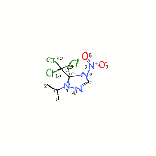 CC(C)N1N=CN([N+](=O)[O-])C1C(Cl)(Cl)Cl